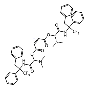 CN(C)C(OC(=O)/C=C\C(=O)OC(C(=O)NC(Cc1ccccc1)(c1ccccc1)C(F)(F)F)N(C)C)C(=O)NC(Cc1ccccc1)(c1ccccc1)C(F)(F)F